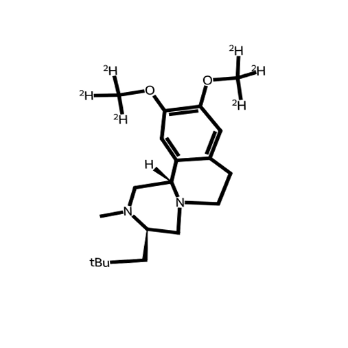 [2H]C([2H])([2H])Oc1cc2c(cc1OC([2H])([2H])[2H])[C@H]1CN(C)[C@H](CC(C)(C)C)CN1CC2